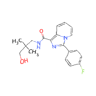 CC(C)(CO)CNC(=O)c1nc(-c2ccc(F)cc2)n2ccccc12